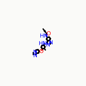 CC#CC(=O)Nc1ccc2ncnc(Nc3ccc(Oc4ccn5ccnc5c4)c(C)c3)c2c1